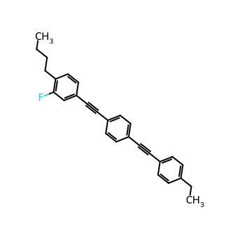 CCCCc1ccc(C#Cc2ccc(C#Cc3ccc(CC)cc3)cc2)cc1F